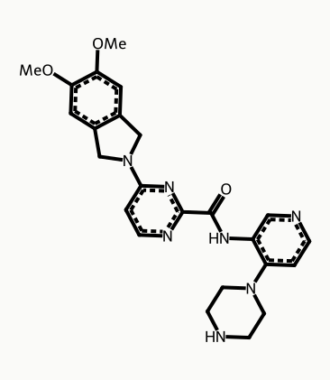 COc1cc2c(cc1OC)CN(c1ccnc(C(=O)Nc3cnccc3N3CCNCC3)n1)C2